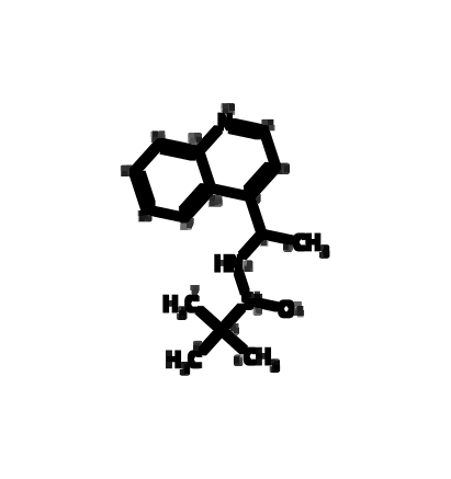 CC(N[S+]([O-])C(C)(C)C)c1ccnc2ccccc12